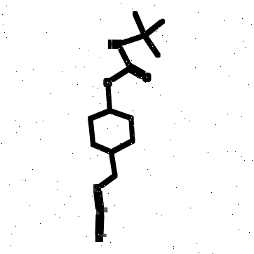 CC(C)(C)NC(=O)OC1CCC(CN=[N+]=[N-])CC1